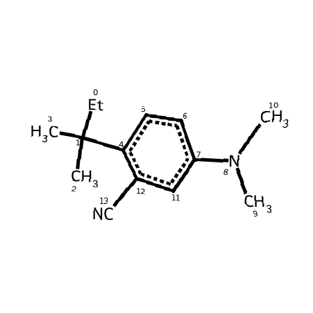 CCC(C)(C)c1ccc(N(C)C)cc1C#N